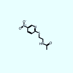 CC(=O)NCCSc1ccc([N+](=O)[O-])cn1